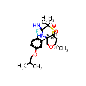 CC(C)COc1ccc(F)c([C@]23CO[C@@H](C)C[C@H]2S(=O)(=O)C(C)(C)C(=N)N3)c1